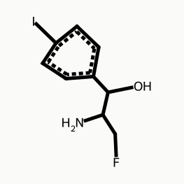 NC(CF)C(O)c1ccc(I)cc1